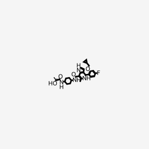 CC1=C(C(=O)NC2CCC(NC(=O)[C@H](C)O)CC2)c2[nH]ccc2C(c2ccc(F)cc2OCC2CC2)N1